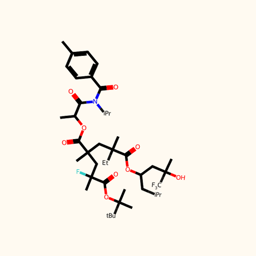 CCC(C)(CC(C)(CC(C)(F)C(=O)OC(C)(C)C(C)(C)C)C(=O)OC(C)C(=O)N(C(=O)c1ccc(C)cc1)C(C)C)C(=O)OC(CC(C)C)CC(C)(O)C(F)(F)F